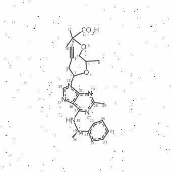 C#CCC(OC(C)COC(C)(C)C(=O)O)n1cnc2c(N[C@H](C)c3ccccc3)nc(C)nc21